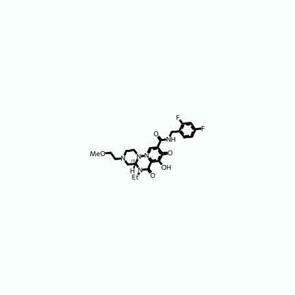 CCN1C(=O)c2c(O)c(=O)c(C(=O)NCc3ccc(F)cc3F)cn2N2CCN(CCOC)C[C@@H]12